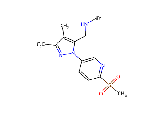 Cc1c(C(F)(F)F)nn(-c2ccc(S(C)(=O)=O)nc2)c1CNC(C)C